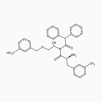 Cc1cccc(C[C@H](N)C(=O)N(C(=O)C(c2ccccc2)c2ccccc2)C(C#N)COCc2cccc(C(=O)O)c2)c1